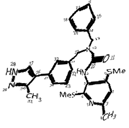 CSc1cc(C)nc(SC)c1NC(=O)N(Cc1ccccc1)Cc1cccc(-c2c[nH]nc2C)c1